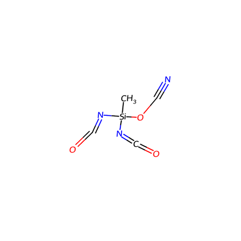 C[Si](N=C=O)(N=C=O)OC#N